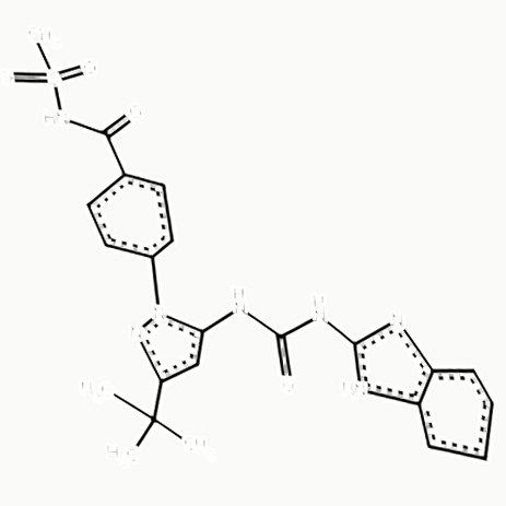 CC(C)(C)c1cc(NC(=O)Nc2nc3ccccc3[nH]2)n(-c2ccc(C(=O)NS(C)(=O)=O)cc2)n1